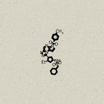 CC[C@@H]1C[C@H](NS(=O)(=O)CC2CCCCC2)C[C@@H]1c1nnc2cnc3c(ccn3S(=O)(=O)c3ccc(C)cc3)n12